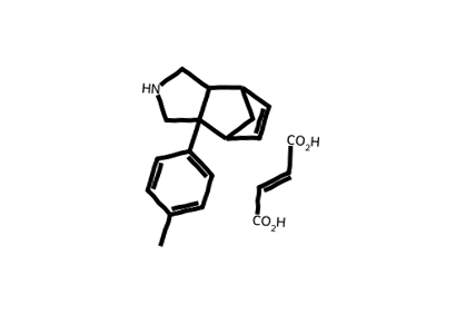 Cc1ccc(C23CNCC2C2C=CC3C2)cc1.O=C(O)C=CC(=O)O